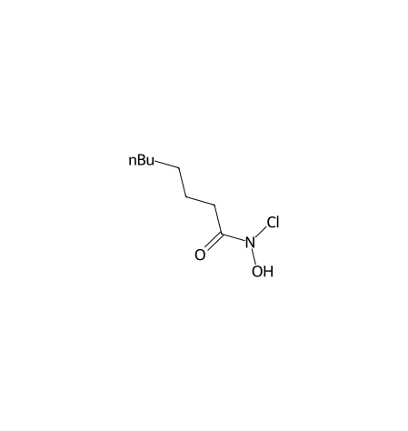 CCCCCCCC(=O)N(O)Cl